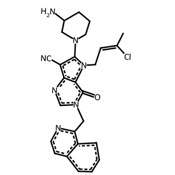 CC(Cl)=CCn1c(N2CCCC(N)C2)c(C#N)c2ncn(Cc3nccc4ccccc34)c(=O)c21